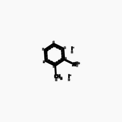 Cc1cccc[c]1[Al+2].[I-].[I-]